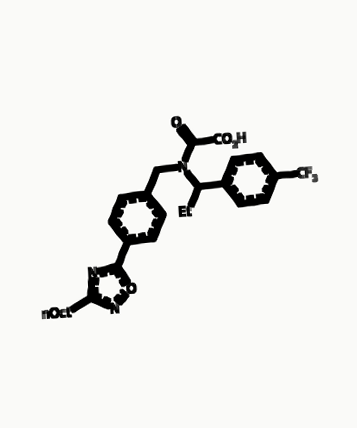 CCCCCCCCc1noc(-c2ccc(CN(C(=O)C(=O)O)C(CC)c3ccc(C(F)(F)F)cc3)cc2)n1